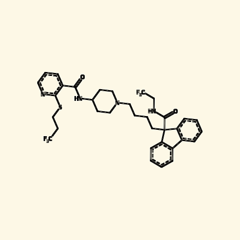 O=C(NC1CCN(CCCCC2(C(=O)NCC(F)(F)F)c3ccccc3-c3ccccc32)CC1)c1cccnc1SCCC(F)(F)F